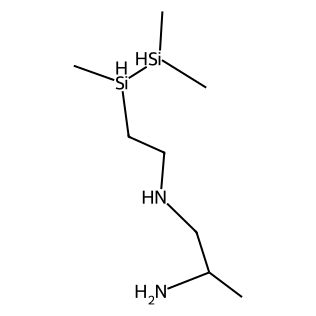 CC(N)CNCC[SiH](C)[SiH](C)C